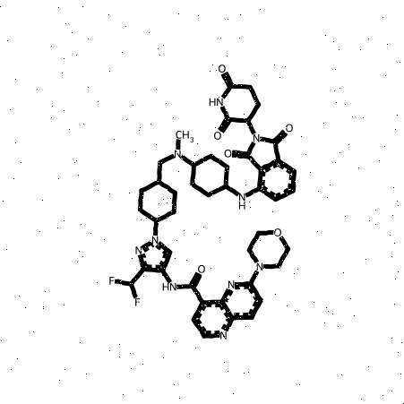 CN(CC1CCC(n2cc(NC(=O)c3ccnc4ccc(N5CCOCC5)nc34)c(C(F)F)n2)CC1)C1CCC(Nc2cccc3c2C(=O)N(C2CCC(=O)NC2=O)C3=O)CC1